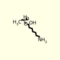 CC[PH](=O)OC(O)CCCCCCN